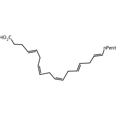 CCCCC/C=C/C/C=C/C/C=C\C/C=C\C/C=C/CCC(=O)O